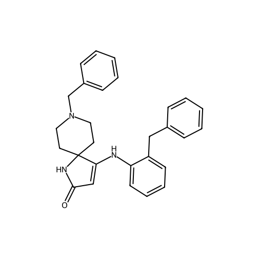 O=C1C=C(Nc2ccccc2Cc2ccccc2)C2(CCN(Cc3ccccc3)CC2)N1